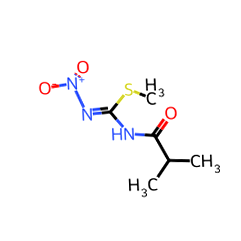 CS/C(=N\[N+](=O)[O-])NC(=O)C(C)C